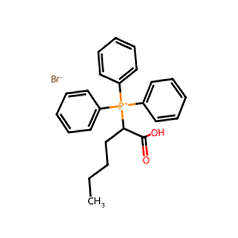 CCCCC(C(=O)O)[P+](c1ccccc1)(c1ccccc1)c1ccccc1.[Br-]